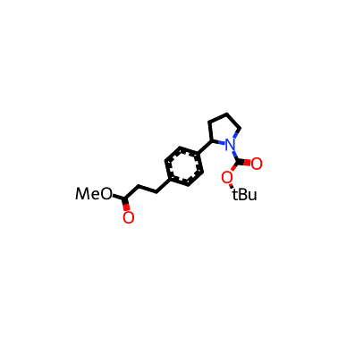 COC(=O)CCc1ccc(C2CCCN2C(=O)OC(C)(C)C)cc1